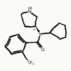 O=C(c1ccccc1C(F)(F)F)N(C1CCCC1)[C@H]1CCNC1